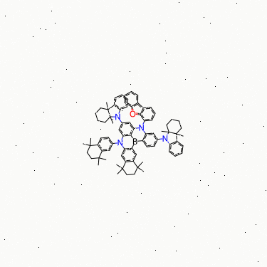 CC1(C)CCC(C)(C)c2cc(N3c4cc5c(cc4B4c6ccc(N7c8ccccc8C8(C)CCCCC78C)cc6N(c6cccc7c6oc6ccccc67)c6cc(N7c8ccccc8C8(C)CCCCC78C)cc3c64)C(C)(C)CCC5(C)C)ccc21